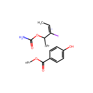 C/C=C(/I)C(CCC)OC(N)=O.CCCOC(=O)c1ccc(O)cc1